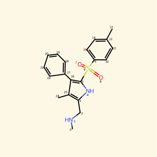 CNCc1[nH]c(S(=O)(=O)c2ccc(C)cc2)c(-c2ccccc2)c1C